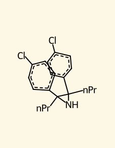 CCCC1(c2ccc(Cl)cc2)NC1(CCC)c1ccc(Cl)cc1